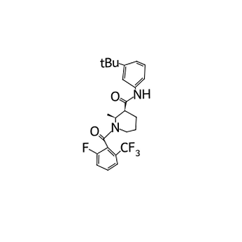 C[C@H]1[C@@H](C(=O)Nc2cccc(C(C)(C)C)c2)CCCN1C(=O)c1c(F)cccc1C(F)(F)F